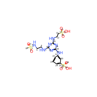 CS(=O)(=O)NCCNc1nc(NCCS(=O)(=O)O)nc(Nc2cccc(S(=O)(=O)O)c2)n1